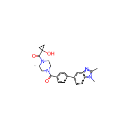 Cc1nc2cc(-c3ccc(C(=O)N4CCN(C(=O)C5(O)CC5)[C@@H](C)C4)cc3)ccc2n1C